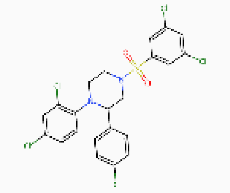 O=S(=O)(c1cc(Cl)cc(Cl)c1)N1CCN(c2ccc(Cl)cc2Cl)C(c2ccc(Cl)cc2)C1